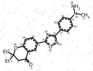 CCC1(CC)CC(=O)c2cc(-c3nc(-c4ccc(N(C)N)cc4)no3)ccc2O1